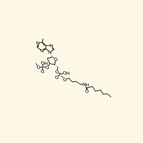 CCCCCCC(=O)NCCCCOP(=O)(O)OC[C@H]1O[C@@H](n2cnc3c(C)ncnc32)C[C@@H]1OP(=O)(O)OC